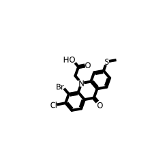 CSc1ccc2c(=O)c3ccc(Cl)c(Br)c3n(CC(=O)O)c2c1